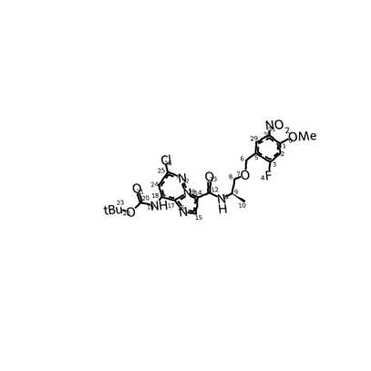 COc1cc(F)c(COC[C@@H](C)NC(=O)c2cnc3c(NC(=O)OC(C)(C)C)cc(Cl)nn23)cc1[N+](=O)[O-]